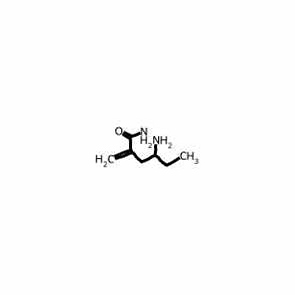 C=C(CC(N)CC)C(N)=O